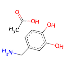 CC(=O)O.NCc1ccc(O)c(O)c1